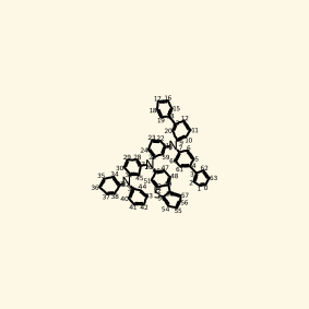 c1ccc(-c2ccc(N(c3cccc(-c4ccccc4)c3)c3cccc(N(c4cccc(N(c5ccccc5)c5ccccc5)c4)c4ccc5c(c4)sc4ccccc45)c3)cc2)cc1